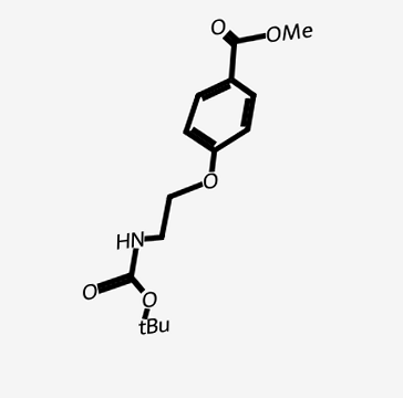 COC(=O)c1ccc(OCCNC(=O)OC(C)(C)C)cc1